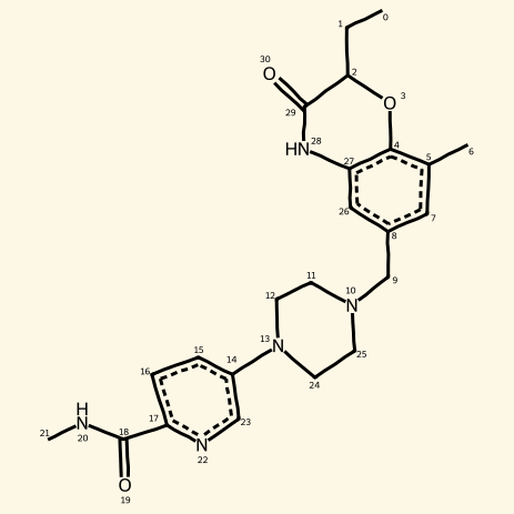 CCC1Oc2c(C)cc(CN3CCN(c4ccc(C(=O)NC)nc4)CC3)cc2NC1=O